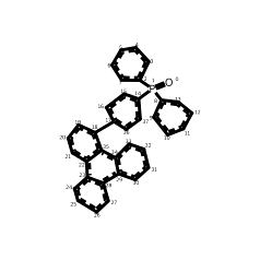 O=P(c1ccccc1)(c1ccccc1)c1ccc(-c2cccc3c4ccccc4c4ccccc4c23)cc1